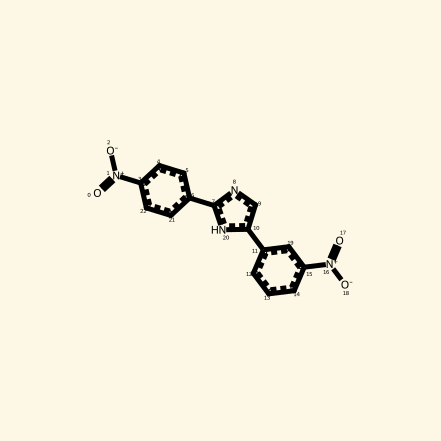 O=[N+]([O-])c1ccc(-c2ncc(-c3cccc([N+](=O)[O-])c3)[nH]2)cc1